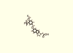 O=C(O)CC1CCn2c1cc1cc(OCc3ccc(OCF)c(C(F)(F)F)c3)ccc12